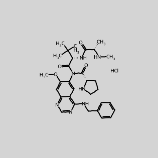 CN[C@@H](C)C(=O)N[C@H](C(=O)N(C(=O)[C@@H]1CCCN1)c1cc2c(NCc3ccccc3)ncnc2cc1OC)C(C)(C)C.Cl